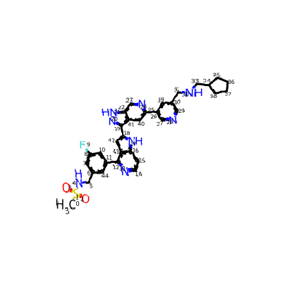 CS(=O)(=O)NCc1cc(F)cc(-c2nccc3[nH]c(-c4n[nH]c5cnc(-c6cncc(CNCC7CCCC7)c6)cc45)cc23)c1